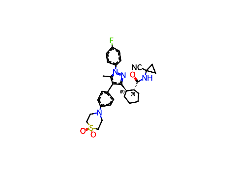 Cc1c(-c2ccc(N3CCS(=O)(=O)CC3)cc2)c([C@@H]2CCCC[C@H]2C(=O)NC2(C#N)CC2)nn1-c1ccc(F)cc1